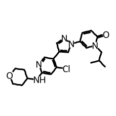 CC(C)Cn1cc(-n2cc(-c3cnc(NC4CCOCC4)cc3Cl)cn2)ccc1=O